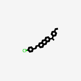 C=Cc1ccc(C(C)c2ccc3cc4cc(/C=C/c5ccc(Cl)cc5)ccc4cc3c2)cc1